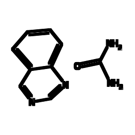 NC(N)=O.c1ccc2ncncc2c1